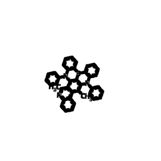 Cc1nc2ccccc2c2c(C)c3c4c(c12)N(c1ccccc1)c1ccccc1B4c1ccccc1N3c1ccccc1